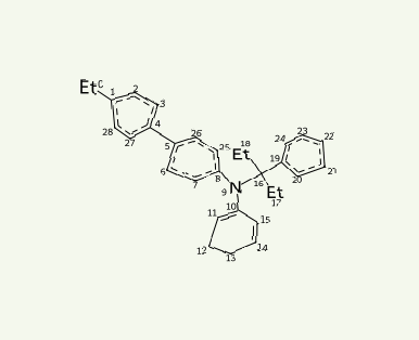 CCc1ccc(-c2ccc(N(C3=CCCC=C3)C(CC)(CC)c3ccccc3)cc2)cc1